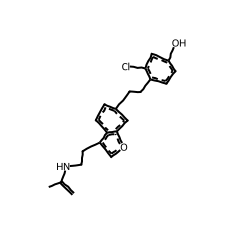 C=C(C)NCCc1coc2cc(CCc3ccc(O)cc3Cl)ccc12